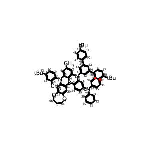 Cc1cc2c3c(c1)N(c1ccc(C(C)(C)C)cc1C)c1cc4c(cc1B3c1ccc(N(c3ccccc3)c3ccccc3)cc1N2c1cc(-c2ccc(C(C)(C)C)cc2)cc(-c2ccc(C(C)(C)C)cc2)c1)OCCCO4